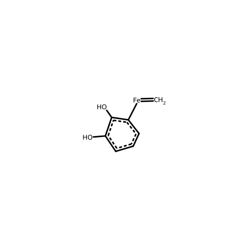 [CH2]=[Fe][c]1cccc(O)c1O